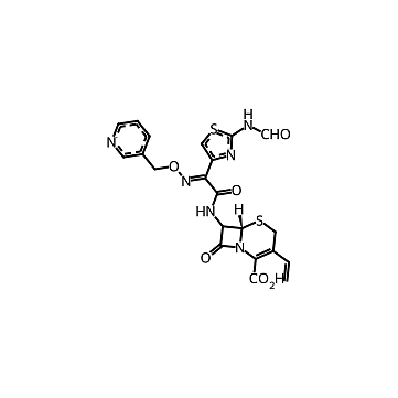 C=CC1=C(C(=O)O)N2C(=O)C(NC(=O)C(=NOCc3cccnc3)c3csc(NC=O)n3)[C@@H]2SC1